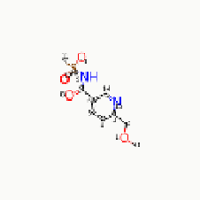 COCc1ccc(C(=O)NS(C)(=O)=O)cn1